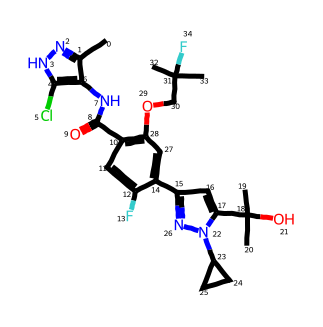 Cc1n[nH]c(Cl)c1NC(=O)c1cc(F)c(-c2cc(C(C)(C)O)n(C3CC3)n2)cc1OCC(C)(C)F